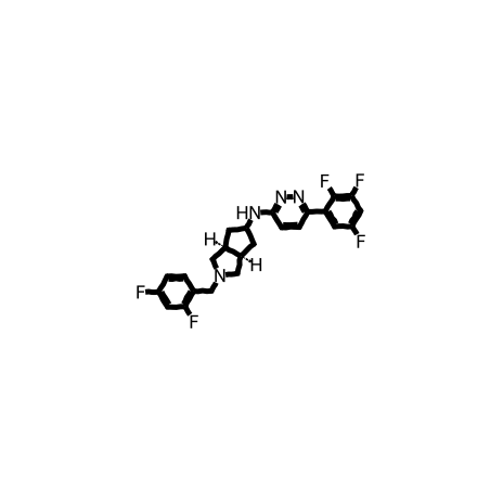 Fc1ccc(CN2C[C@H]3CC(Nc4ccc(-c5cc(F)cc(F)c5F)nn4)C[C@H]3C2)c(F)c1